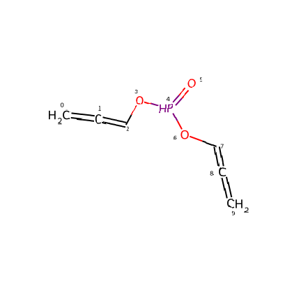 C=C=CO[PH](=O)OC=C=C